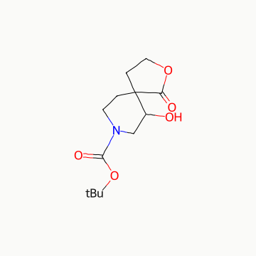 CC(C)(C)OC(=O)N1CCC2(CCOC2=O)C(O)C1